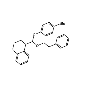 CCC(C)c1ccc(OC(OCCc2ccccc2)C2CCSc3ccccc32)cc1